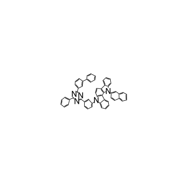 c1ccc(-c2cccc(-c3nc(-c4ccccc4)nc(-c4cccc(-n5c6ccccc6c6c5ccc5c7ccccc7n(-c7ccc8ccccc8c7)c56)c4)n3)c2)cc1